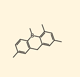 CB1c2ccc(C)cc2Cc2cc(C)cc(C)c21